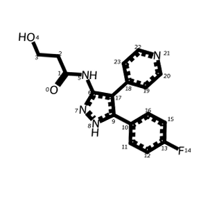 O=C(CCO)Nc1n[nH]c(-c2ccc(F)cc2)c1-c1ccncc1